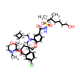 C[C@H]([C@@H](C)CCCCO)S(=O)(=O)NC(=O)c1ccc2c(c1)N(C[C@@H]1CC[C@H]1C[C@@H]1OCCN(C)C1=O)C[C@@]1(CCCc3cc(Cl)ccc31)CO2